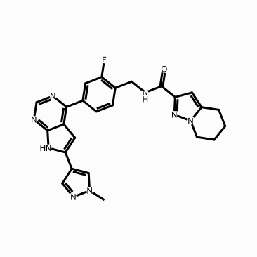 Cn1cc(-c2cc3c(-c4ccc(CNC(=O)c5cc6n(n5)CCCC6)c(F)c4)ncnc3[nH]2)cn1